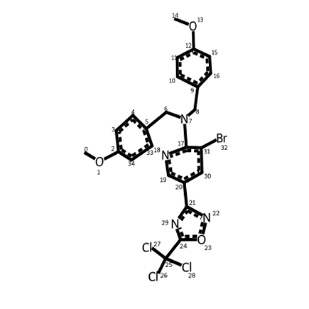 COc1ccc(CN(Cc2ccc(OC)cc2)c2ncc(-c3noc(C(Cl)(Cl)Cl)n3)cc2Br)cc1